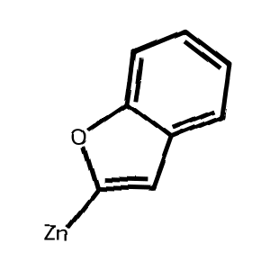 [Zn][c]1cc2ccccc2o1